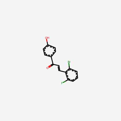 O=C(C=Cc1c(F)cccc1Br)c1ccc(O)cc1